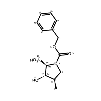 C[C@@H]1CN(C(=O)OCc2ccccc2)[C@H](C(=O)O)[C@H]1O